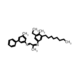 CCCCCCCCc1cc(N=C(C)C=Nc2cc(C)cc(-c3ccccc3)c2)cc(CC)c1C